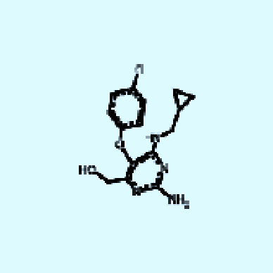 Nc1nc(CO)c(Oc2ccc(Cl)cc2)c(NCC2CC2)n1